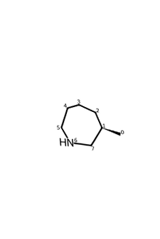 C[C@@H]1CCCCNC1